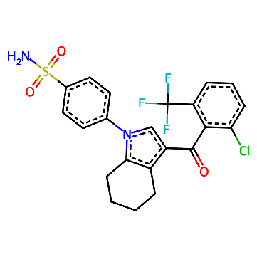 NS(=O)(=O)c1ccc(-n2cc(C(=O)c3c(Cl)cccc3C(F)(F)F)c3c2CCCC3)cc1